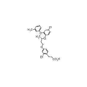 CCc1cc(OCCC(C)Oc2ccc(Cl)cc2Oc2cccc(C)c2)ccc1CCC(=O)O